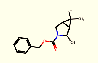 CC1(C)C2CN(C(=O)OCc3ccccc3)[C@H](C#N)C21